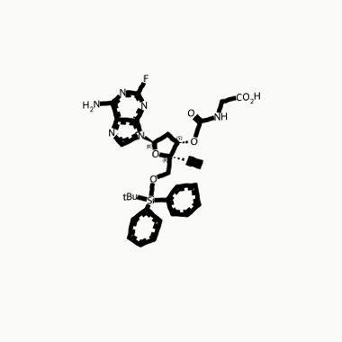 C#C[C@]1(CO[Si](c2ccccc2)(c2ccccc2)C(C)(C)C)O[C@@H](n2cnc3c(N)nc(F)nc32)C[C@@H]1OC(=O)NCC(=O)O